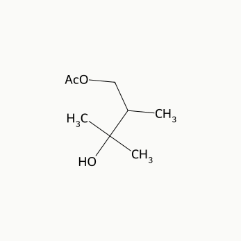 CC(=O)OCC(C)C(C)(C)O